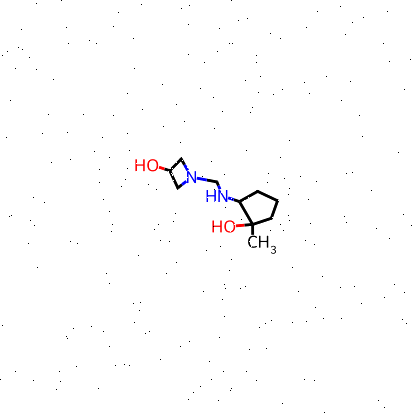 CC1(O)CCCC1NCN1CC(O)C1